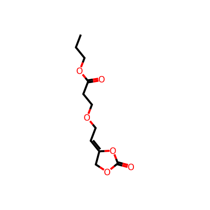 CCCOC(=O)CCOCC=C1COC(=O)O1